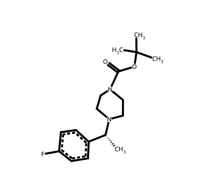 C[C@H](c1ccc(F)cc1)N1CCN(C(=O)OC(C)(C)C)CC1